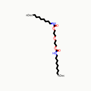 CCCCCCCCCCCCCCCCCCNC(=O)OCCCOCCCOC(=O)NCCCCCCCCCCCCCCCCCC